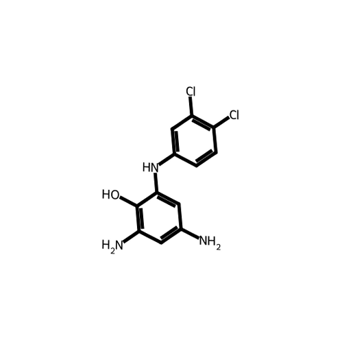 Nc1cc(N)c(O)c(Nc2ccc(Cl)c(Cl)c2)c1